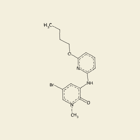 CCCCOc1cccc(Nc2cc(Br)cn(C)c2=O)n1